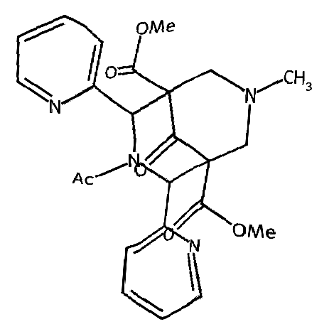 COC(=O)C12CN(C)CC(C(=O)OC)(C1=O)C(c1ccccn1)N(C(C)=O)C2c1ccccn1